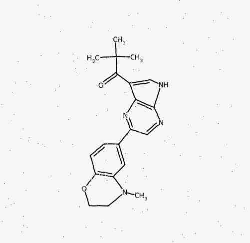 CN1CCOc2ccc(-c3cnc4[nH]cc(C(=O)C(C)(C)C)c4n3)cc21